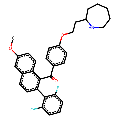 COc1ccc2c(C(=O)c3ccc(OCCC4CCCCCN4)cc3)c(-c3c(F)cccc3F)ccc2c1